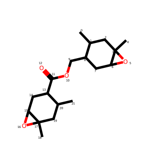 CC1CC2(C)OC2CC1COC(=O)C1CC2OC2(C)CC1C